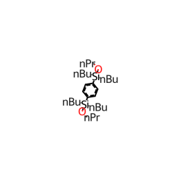 CCCC[Si](CCCC)(OCCC)c1ccc([Si](CCCC)(CCCC)OCCC)cc1